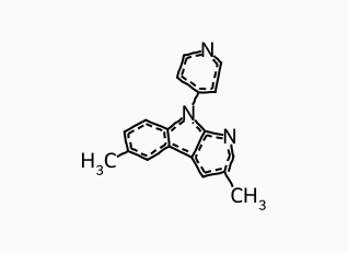 Cc1ccc2c(c1)c1cc(C)cnc1n2-c1ccncc1